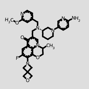 COc1cc(CN(Cc2cn3c4c(c(N5CC6(COC6)C5)c(F)cc4c2=O)OCC3C)[C@H]2CCCN(c3ccc(N)nc3)C2)ccn1